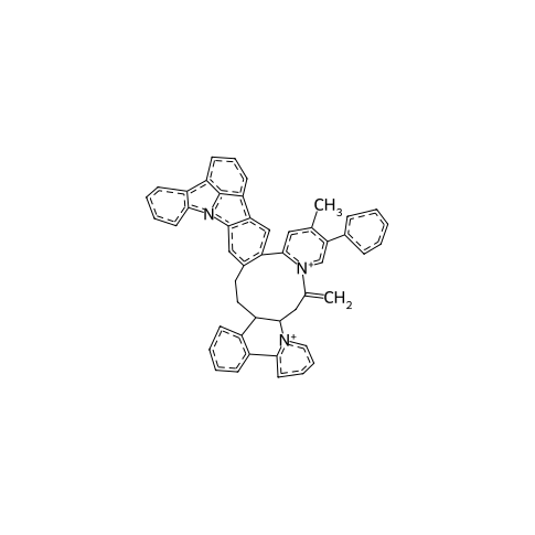 C=C1CC2C(CCc3cc4c(cc3-c3cc(C)c(-c5ccccc5)c[n+]31)c1cccc3c5ccccc5n4c31)c1ccccc1-c1cccc[n+]12